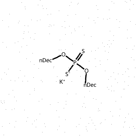 CCCCCCCCCCOP(=S)([S-])OCCCCCCCCCC.[K+]